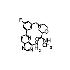 CNC(=O)C1CN(Cc2cc(F)cc(-c3ccc4ncnc(N)c4n3)c2)CCO1